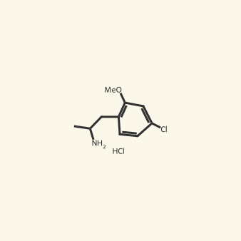 COc1cc(Cl)ccc1CC(C)N.Cl